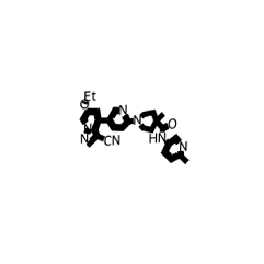 CCOc1cc(-c2ccc(N3CCC(C)(C(=O)Nc4ccc(C)nc4)CC3)nc2)c2c(C#N)cnn2c1